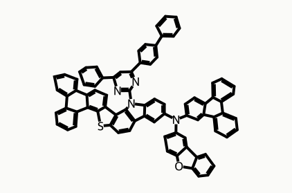 c1ccc(-c2ccc(-c3cc(-c4ccccc4)nc(-n4c5ccc(N(c6ccc7oc8ccccc8c7c6)c6ccc7c8ccccc8c8ccccc8c7c6)cc5c5ccc6sc7c(ccc8c9ccccc9c9ccccc9c87)c6c54)n3)cc2)cc1